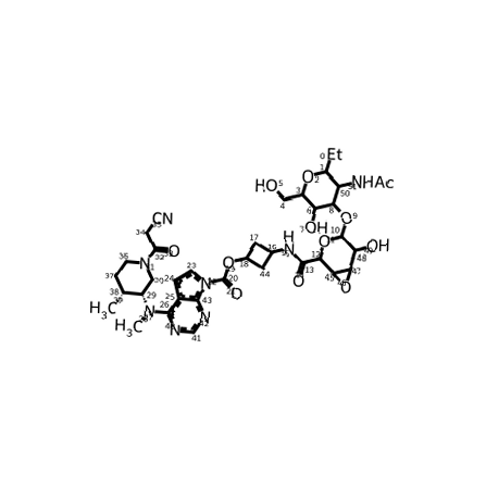 CCC1OC(CO)C(O)C(OC2OC(C(=O)NC3CC(OC(=O)n4ccc5c(N(C)[C@H]6CN(C(=O)CC#N)CC[C@H]6C)ncnc54)C3)C3OC3C2O)C1NC(C)=O